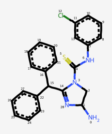 NC1CN(C(=S)Nc2cccc(Cl)c2)C(C(c2ccccc2)c2ccccc2)=N1